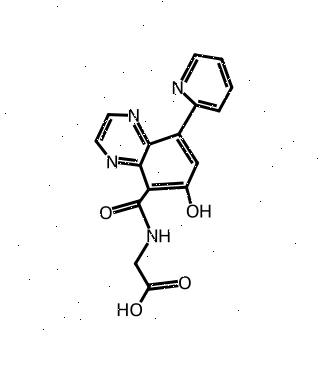 O=C(O)CNC(=O)c1c(O)cc(-c2ccccn2)c2nccnc12